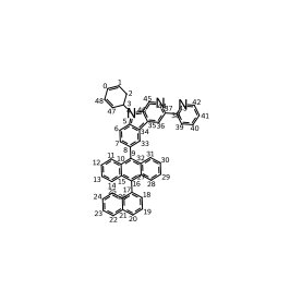 C1=CCC(n2c3ccc(-c4c5ccccc5c(-c5cccc6ccccc56)c5ccccc45)cc3c3cc(-c4ccccn4)ncc32)C=C1